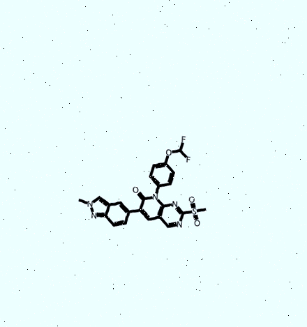 Cn1cc2cc(-c3cc4cnc(S(C)(=O)=O)nc4n(-c4ccc(OC(F)F)cc4)c3=O)ccc2n1